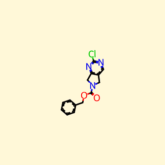 O=C(OCc1ccccc1)N1Cc2cnc(Cl)nc2C1